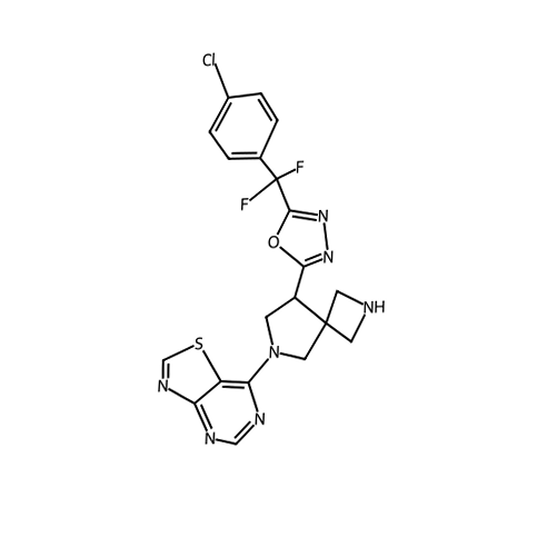 FC(F)(c1ccc(Cl)cc1)c1nnc(C2CN(c3ncnc4ncsc34)CC23CNC3)o1